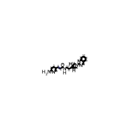 Nc1ccc(/C=C/C(=O)NCCC2[C@H]3CN(c4ncc5ccccc5n4)C[C@@H]23)cn1